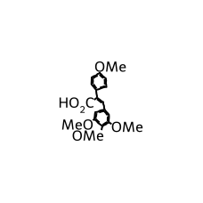 COc1ccc(C(=Cc2cc(OC)c(OC)c(OC)c2)C(=O)O)cc1